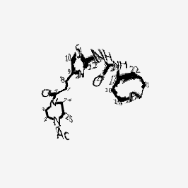 CC(=O)N1CCN(C(=O)CCc2csc(NC(=O)Nc3ccncc3)n2)CC1